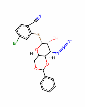 N#Cc1ccc(Br)cc1S[C@H]1O[C@@H]2COC(c3ccccc3)O[C@@H]2[C@H](N=[N+]=[N-])[C@H]1O